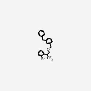 FC(F)(F)C(COCc1cccc(Cc2ccccc2)c1)c1ccccc1Br